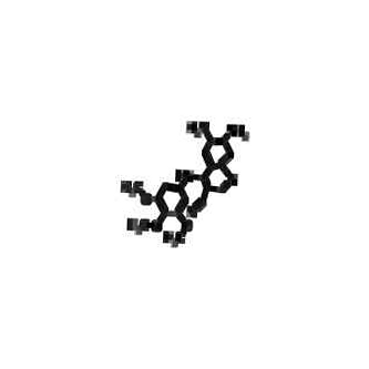 COc1cc(Nc2c(C#N)cnc3cc(N)c(N)cc23)cc(OC)c1OC